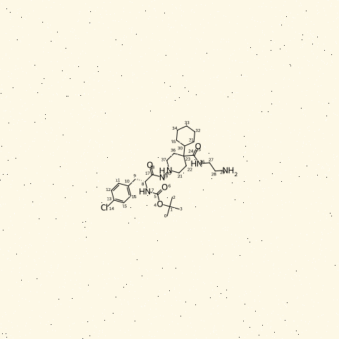 CC(C)(C)OC(=O)N[C@H](Cc1ccc(Cl)cc1)C(=O)NN1CCC(C(=O)NCCN)(C2CCCCC2)CC1